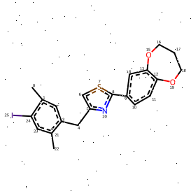 Cc1cc(Cc2csc(-c3ccc4c(c3)OCCCO4)n2)c(C)cc1I